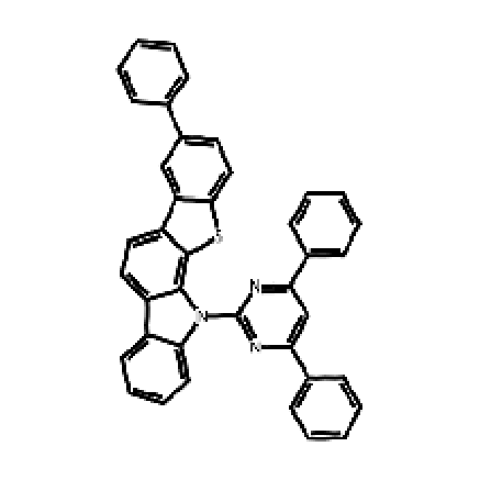 c1ccc(-c2ccc3sc4c(ccc5c6ccccc6n(-c6nc(-c7ccccc7)cc(-c7ccccc7)n6)c54)c3c2)cc1